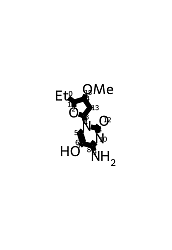 CCC1OC(n2cc(O)c(N)nc2=O)CC1OC